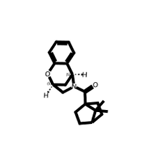 CC1(C)C2CCC1(C(=O)N1C[C@@H]3C[C@H]1c1ccccc1O3)CC2